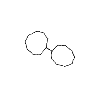 C1CCCCB(C2CCCCCCCC2)CCC1